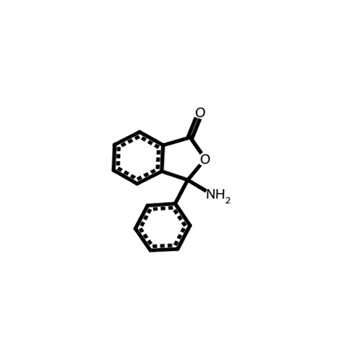 NC1(c2ccccc2)OC(=O)c2ccccc21